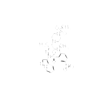 CC=NN(c1cnn2ccccc12)S(=O)(=O)c1cc([N+](=O)[O-])ccc1N(C)CCN1CCN(S(C)(=O)=O)CC1